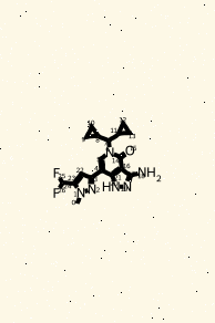 Cn1nc(-c2cn(C(C3CC3)C3CC3)c(=O)c3c(N)n[nH]c23)cc1C(F)F